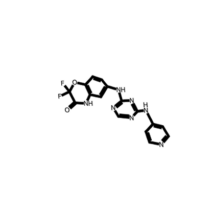 O=C1Nc2cc(Nc3ncnc(Nc4ccncc4)n3)ccc2OC1(F)F